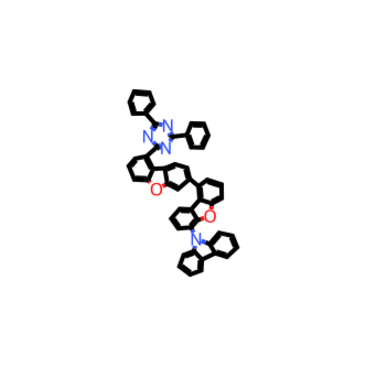 c1ccc(-c2nc(-c3ccccc3)nc(-c3cccc4oc5cc(-c6cccc7oc8c(-n9c%10ccccc%10c%10ccccc%109)cccc8c67)ccc5c34)n2)cc1